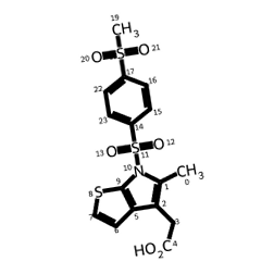 Cc1c(CC(=O)O)c2ccsc2n1S(=O)(=O)c1ccc(S(C)(=O)=O)cc1